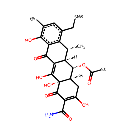 CCC(=O)O[C@H]1[C@H]2C(=C(O)[C@]3(O)C(=O)C(C(N)=O)=C(O)C[C@H]13)C(=O)c1c(O)c(C(C)(C)C)cc(CSC)c1[C@@H]2C